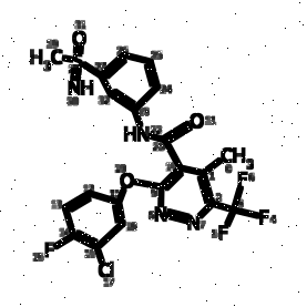 Cc1c(C(F)(F)F)nnc(Oc2ccc(F)c(Cl)c2)c1C(=O)Nc1cccc(S(C)(=N)=O)c1